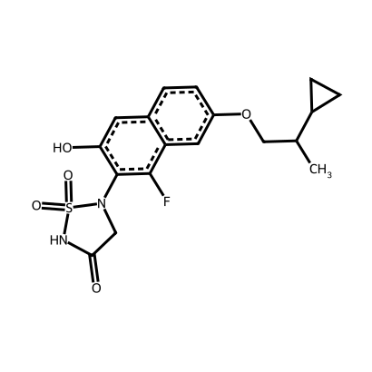 CC(COc1ccc2cc(O)c(N3CC(=O)NS3(=O)=O)c(F)c2c1)C1CC1